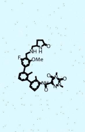 COc1cc(-c2cccc(-c3cccc(NC(=O)c4nn(C)c(=O)n(C)c4=O)c3C)c2C)cc(F)c1CNCC1CCC(=O)N1